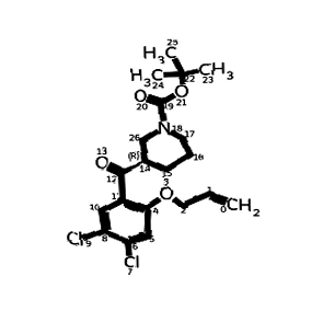 C=CCOc1cc(Cl)c(Cl)cc1C(=O)[C@@H]1CCCN(C(=O)OC(C)(C)C)C1